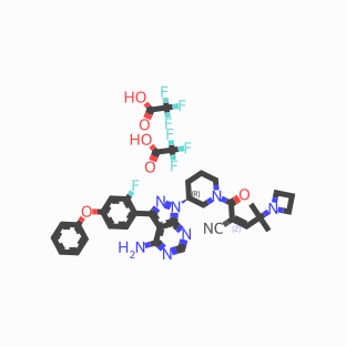 CC(C)(/C=C(/C#N)C(=O)N1CCC[C@@H](n2nc(-c3ccc(Oc4ccccc4)cc3F)c3c(N)ncnc32)C1)N1CCC1.O=C(O)C(F)(F)F.O=C(O)C(F)(F)F